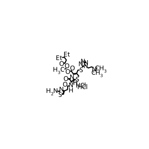 CCC(CC)CC(=O)OC(C)OC(=O)C1=C(CSc2nnnn2CCN(C)C)CS[C@@H]2[C@H](NC(=O)Cc3csc(N)n3)C(=O)N12.Cl.Cl